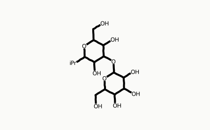 CC(C)C1OC(CO)C(O)C(OC2OC(CO)C(O)C(O)C2O)C1O